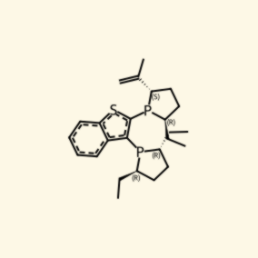 C=C(C)[C@@H]1CC[C@@H](CC)P1c1sc2ccccc2c1P1[C@H](CC)CC[C@H]1CC